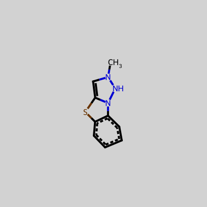 CN1C=C2Sc3ccccc3N2N1